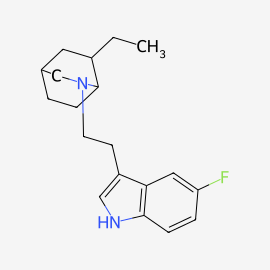 CCC1CC2CCC1N(CCc1c[nH]c3ccc(F)cc13)C2